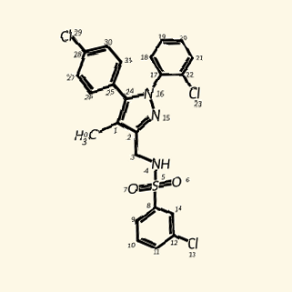 Cc1c(CNS(=O)(=O)c2cccc(Cl)c2)nn(-c2ccccc2Cl)c1-c1ccc(Cl)cc1